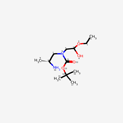 CCOC(O)CN(C[C@@H](C)N)C(=O)OC(C)(C)C